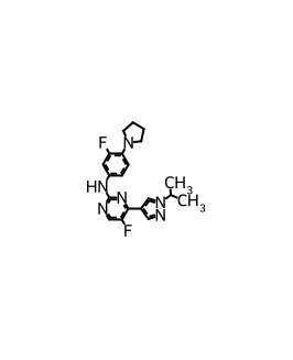 CC(C)n1cc(-c2nc(Nc3ccc(N4CCCC4)c(F)c3)ncc2F)cn1